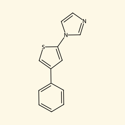 c1ccc(-c2csc(-n3ccnc3)c2)cc1